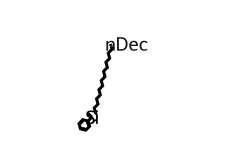 [CH2]CCCCCCCCCCCCCCCCCCCCCCCC[Si](C)(C)c1ccccc1